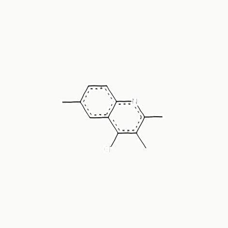 Cc1ccc2nc(C)c(C)c(Cl)c2c1